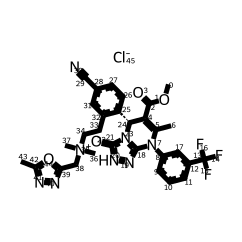 COC(=O)C1=C(C)N(c2cccc(C(F)(F)F)c2)c2n[nH]c(=O)n2[C@@H]1c1ccc(C#N)cc1CC[N+](C)(C)Cc1nnc(C)o1.[Cl-]